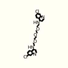 Clc1ccc2c(NCCOCCOCCOCCNc3ccnc4cc(Cl)ccc34)ccnc2c1